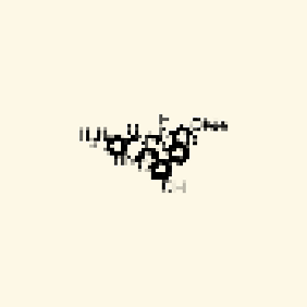 COC(=O)CC(NC(=O)CN1C(=O)c2cc(N)ccc2NC(=O)C1Cc1ccc(O)cc1)c1ccccc1